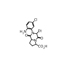 CCC1C(=O)N2C(C(=O)O)CCC2C(=O)N1c1cc(Cl)ccc1N